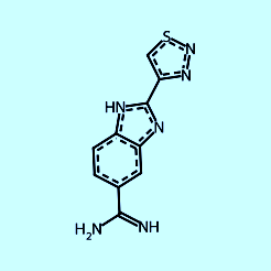 N=C(N)c1ccc2[nH]c(-c3csnn3)nc2c1